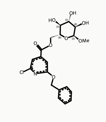 CO[C@H]1O[C@H](COC(=O)c2cc(Cl)nc(OCc3ccccc3)c2)[C@@H](O)[C@H](O)[C@H]1O